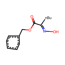 CCCCC(=NO)C(=O)OCc1ccccc1